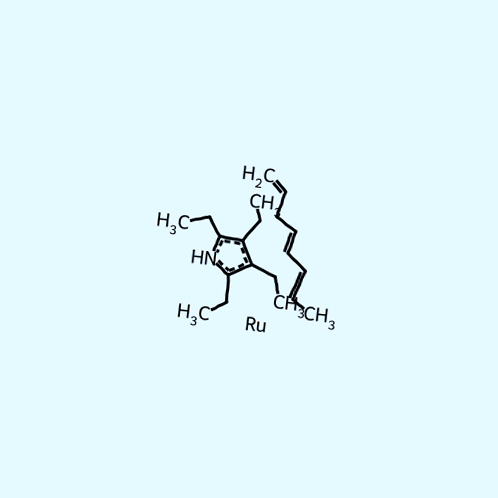 C=CCC=CC=CC.CCc1[nH]c(CC)c(CC)c1CC.[Ru]